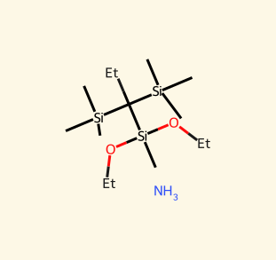 CCO[Si](C)(OCC)C(CC)([Si](C)(C)C)[Si](C)(C)C.N